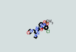 CS(=O)(=O)Nc1ccc(Cl)cc1C(=O)N1CCCC[C@H]1c1cc2nc(N3CCC3)cc(CN3CCOCC3)n2n1